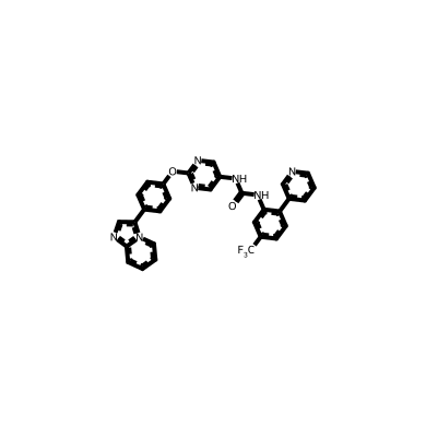 O=C(Nc1cnc(Oc2ccc(-c3cnc4ccccn34)cc2)nc1)Nc1cc(C(F)(F)F)ccc1-c1cccnc1